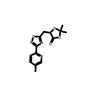 Cc1ccc(-c2noc(CC3OC(C)(C)OC3=O)n2)nc1